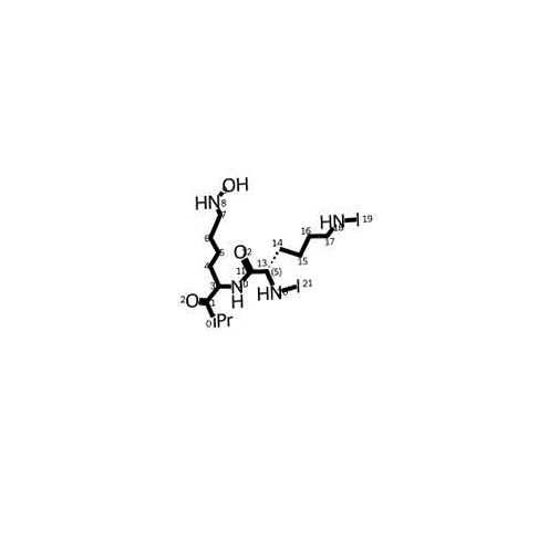 CC(C)C(=O)C(CCCCNO)NC(=O)[C@H](CCCCNI)NI